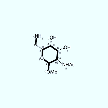 COC1O[C@H](CN)[C@H](O)[C@H](O)[C@@H]1NC(C)=O